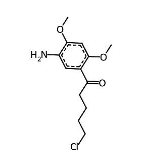 COc1cc(OC)c(C(=O)CCCCCl)cc1N